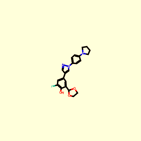 Oc1c(F)cc(-c2cnn(-c3ccc(N4CCCC4)cc3)c2)cc1C1OCCO1